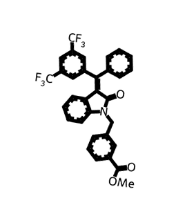 COC(=O)c1cccc(CN2C(=O)/C(=C(\c3ccccc3)c3cc(C(F)(F)F)cc(C(F)(F)F)c3)c3ccccc32)c1